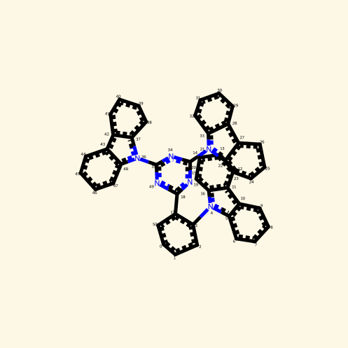 c1ccc(-n2c3ccccc3c3ccccc32)c(-c2nc(-n3c4ccccc4c4ccccc43)nc(-n3c4ccccc4c4ccccc43)n2)c1